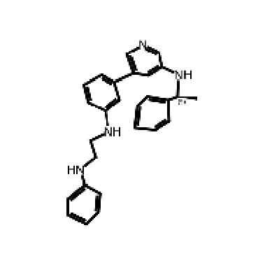 C[C@H](Nc1cncc(-c2cccc(NCCNc3ccccc3)c2)c1)c1ccccc1